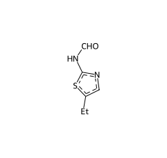 CCc1cnc(NC=O)s1